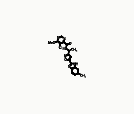 COc1ncnc(C(=O)N[C@@H](C)c2cc(-c3nc4ccc(C)cc4[nH]3)on2)c1Cl